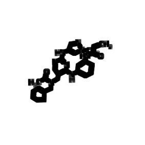 C=CC(=O)Nc1cccc(Nc2nc(Nc3cnn(C)c3)ncc2CN(Cc2ccccc2)C(C)=O)c1